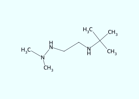 CN(C)NCCNC(C)(C)C